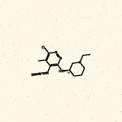 CCN1CCC[C@@H](Nc2nnc(Cl)c(C)c2N=[N+]=[N-])C1